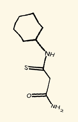 NC(=O)CC(=S)NC1CCCCC1